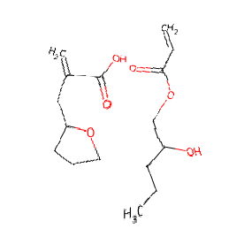 C=C(CC1CCCO1)C(=O)O.C=CC(=O)OCC(O)CCC